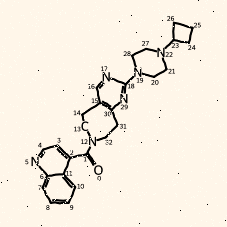 O=C(c1ccnc2ccccc12)N1CCc2cnc(N3CCN(C4CCC4)CC3)nc2CC1